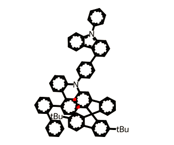 CC(C)(C)c1ccc2c(c1)C1(c3ccccc3-c3cc(N(c4ccc(-c5cccc6c5c5ccccc5n6-c5ccccc5)cc4)c4ccccc4-c4ccccc4-c4ccccc4-c4ccccc4)ccc31)c1cc(C(C)(C)C)ccc1-2